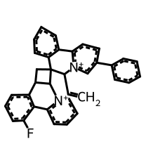 C=CC1[n+]2cc(-c3ccccc3)ccc2-c2ccccc2C12CC1c3cccc(F)c3-c3cccc[n+]3C12